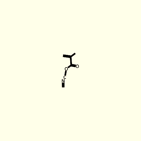 C=NCOC(=O)C(=C)C